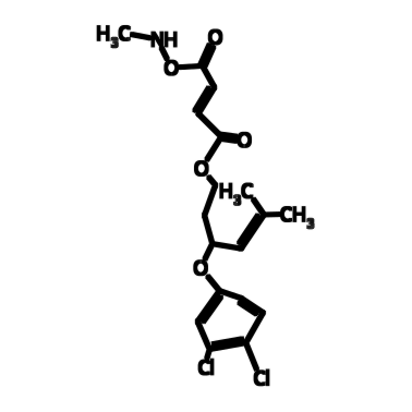 CNOC(=O)/C=C/C(=O)OCCC(C=C(C)C)Oc1ccc(Cl)c(Cl)c1